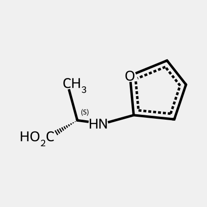 C[C@H](Nc1ccco1)C(=O)O